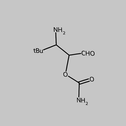 CC(C)(C)C(N)C(C=O)OC(N)=O